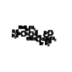 CON=C(C)c1cc(Nc2ncc(Br)c(Nc3cnc4ccccc4c3P(C)(C)=O)n2)c(OC)cc1N1CCC(N(C)C)CC1